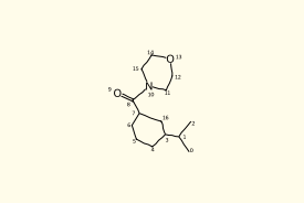 CC(C)C1CCCC(C(=O)N2CCOCC2)C1